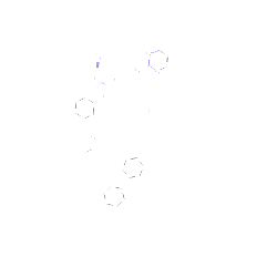 CC(C)C1CN(c2nccc(Cl)n2)CCN1/C(=N\C#N)Nc1cccc2c1CCN(C(=O)OCC1c3ccccc3-c3ccccc31)C2